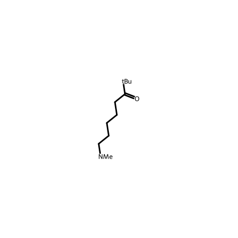 CNCCCCCC(=O)C(C)(C)C